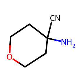 N#CC1(N)CCOCC1